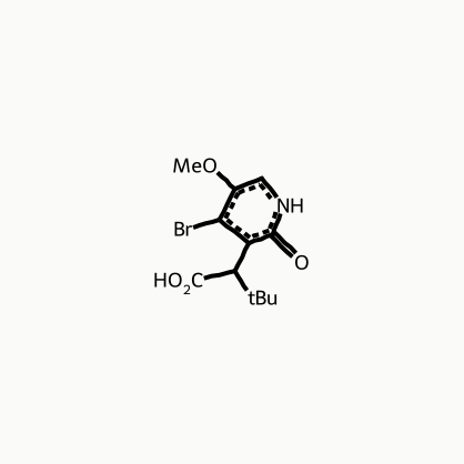 COc1c[nH]c(=O)c(C(C(=O)O)C(C)(C)C)c1Br